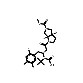 COC(=O)N1C[C@@H]2CCN(C(=O)C[C@H](Cc3cc(F)c(F)cc3F)N(C(=O)O)C(C)(C)C)[C@@H]2C1